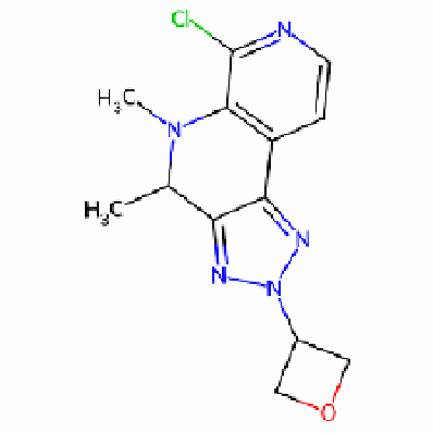 CC1c2nn(C3COC3)nc2-c2ccnc(Cl)c2N1C